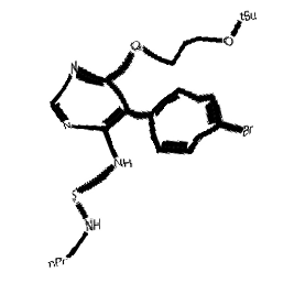 CCCNSNc1ncnc(OCCOC(C)(C)C)c1-c1ccc(Br)cc1